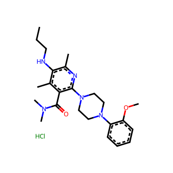 CCCNc1c(C)nc(N2CCN(c3ccccc3OC)CC2)c(C(=O)N(C)C)c1C.Cl